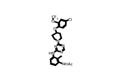 CC(=O)Nc1cccc(Nc2ncnc(N3CCC(Oc4ccc(Cl)cc4OC(F)(F)F)CC3)n2)c1C